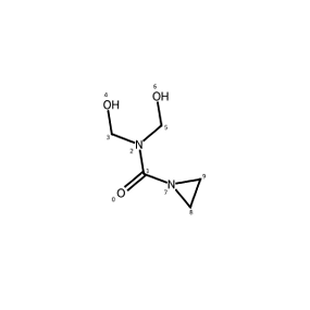 O=C(N(CO)CO)N1CC1